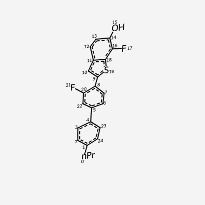 CCCc1ccc(-c2ccc(-c3cc4ccc(O)c(F)c4s3)c(F)c2)cc1